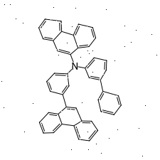 c1ccc(-c2cccc(N(c3cccc(-c4cc5ccccc5c5ccccc45)c3)c3cc4ccccc4c4ccccc34)c2)cc1